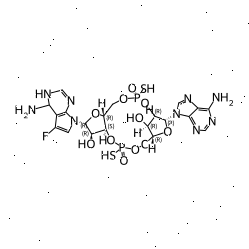 Nc1ncnc2c1ncn2[C@@H]1O[C@@H]2COP(=O)(S)O[C@H]3[C@@H](O)[C@H](n4cc(F)c5c4N=CNC5N)O[C@@H]3COP(=O)(S)O[C@@H]1[C@@H]2O